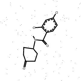 CN(C(=O)c1ccc(Cl)cc1Cl)C1CCC(=O)CC1